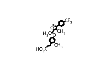 Cc1cc(OC(C)c2onc(-c3ccc(C(F)(F)F)cc3)c2C)ccc1CCC(=O)O